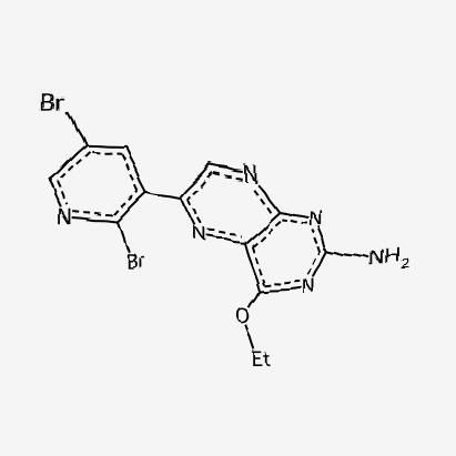 CCOc1nc(N)nc2ncc(-c3cc(Br)cnc3Br)nc12